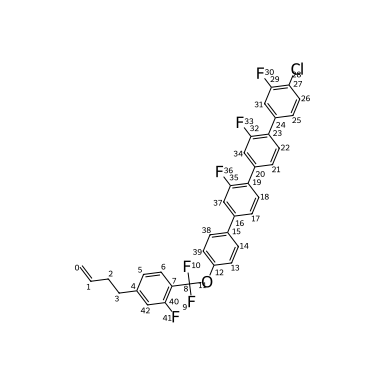 C=CCCc1ccc(C(F)(F)Oc2ccc(-c3ccc(-c4ccc(-c5ccc(Cl)c(F)c5)c(F)c4)c(F)c3)cc2)c(F)c1